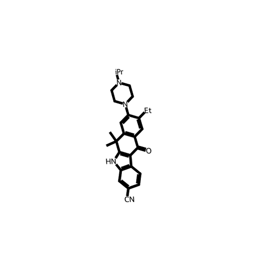 CCc1cc2c(cc1N1CCN(C(C)C)CC1)C(C)(C)c1[nH]c3cc(C#N)ccc3c1C2=O